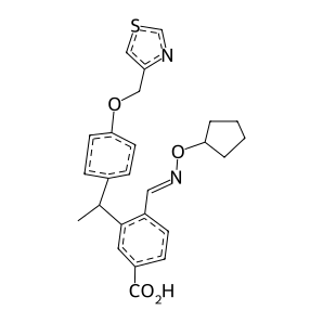 CC(c1ccc(OCc2cscn2)cc1)c1cc(C(=O)O)ccc1C=NOC1CCCC1